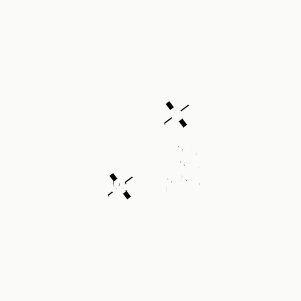 O.O=S(=O)([O-])[O-].[NH4+].[NH4+].[NH4+].[NH4+].[O]=[Mo](=[O])([O-])[O-]